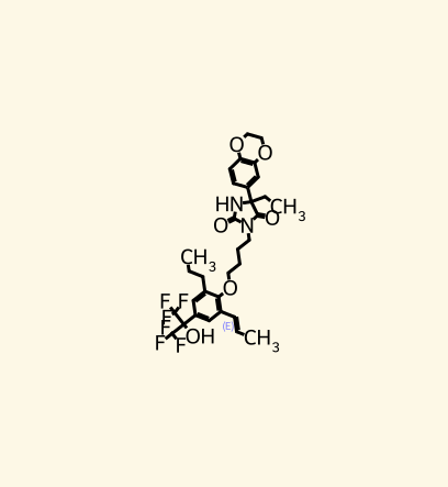 C/C=C/c1cc(C(O)(C(F)(F)F)C(F)(F)F)cc(CCC)c1OCCCCN1C(=O)NC(CC)(c2ccc3c(c2)OCCO3)C1=O